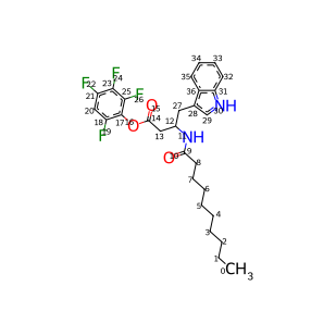 CCCCCCCCCC(=O)NC(CC(=O)Oc1c(F)cc(F)c(F)c1F)Cc1c[nH]c2ccccc12